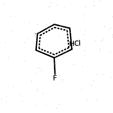 Cl.Fc1c[c]ccc1